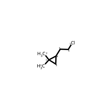 CC1(C)CC1CCCl